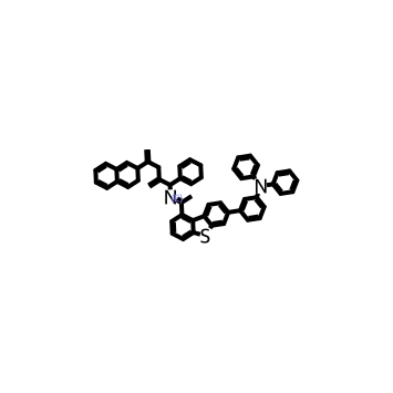 C=C(CC(=C)C(/N=C(\C)c1cccc2sc3cc(-c4cccc(N(c5ccccc5)c5ccccc5)c4)ccc3c12)C1=CCCC=C1)C1C=c2ccccc2=CC1